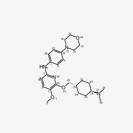 COc1cnc(Nc2ccc(N3CCOCC3)cc2)nc1OC[C@H]1CC[C@H](N(C)C)CC1